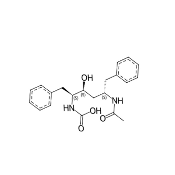 CC(=O)N[C@@H](Cc1ccccc1)C[C@H](O)[C@H](Cc1ccccc1)NC(=O)O